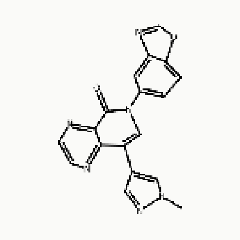 Cn1cc(-c2cn(-c3ccc4ocnc4c3)c(=O)c3nccnc23)cn1